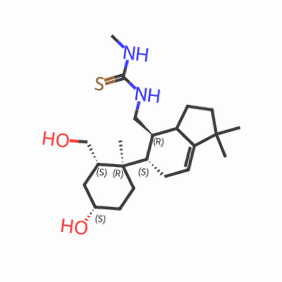 CNC(=S)NC[C@H]1C2CCC(C)(C)C2=CC[C@@H]1[C@@]1(C)CC[C@H](O)C[C@@H]1CO